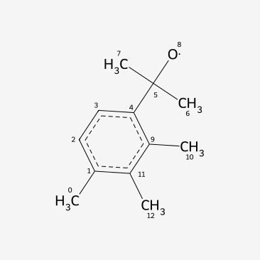 Cc1ccc(C(C)(C)[O])c(C)c1C